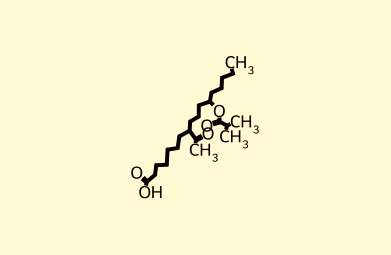 CCCCCC(CCCC(CCCCCCC(=O)O)C(C)=O)OC(=O)C(C)C